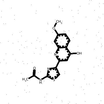 COc1ccc2c(O)cc(-c3csc(NC(C)=O)n3)nc2c1